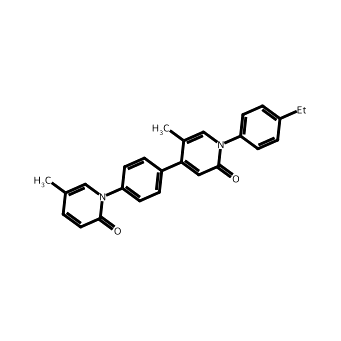 CCc1ccc(-n2cc(C)c(-c3ccc(-n4cc(C)ccc4=O)cc3)cc2=O)cc1